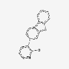 Clc1ncccc1-c1ccc2c(c1)oc1ccccc12